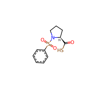 O=C(S)[C@@H]1CCCN1S(=O)(=O)c1ccccc1